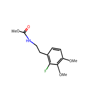 COC(=O)NCCc1ccc(OC)c(OC)c1F